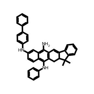 CC1(C)c2ccccc2C2=Cc3c(c(Nc4ccccc4)c4ccc(Nc5ccc(-c6ccccc6)cc5)cc4c3N)CC21